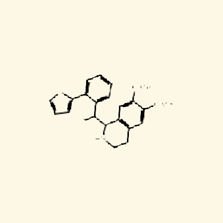 [CH2]C(c1ccccc1-c1cccs1)C1NCCc2cc(OC)c(OC)cc21